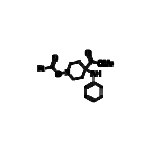 CCC(=O)ON1CCC(Nc2ccccc2)(C(=O)OC)CC1